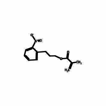 C=C(C)C(=O)OCCCc1ccccc1[N+](=O)[O-]